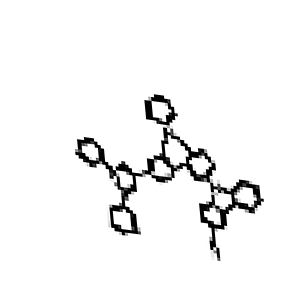 N#Cc1ccc2c(c1)c1ccccc1n2-c1ccc2c(c1)-c1ccc(-c3cc(-c4ccccc4)nc(-c4ccccc4)c3)cc1CN(c1ccccc1)C2